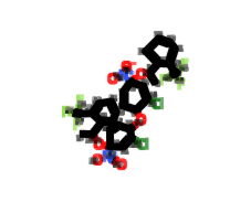 CC(OC1([N+](=O)[O-])C=CC(OC2C=CC(OC(C)c3ccccc3C(F)(F)F)([N+](=O)[O-])C=C2Cl)C(Cl)=C1)c1ccccc1C(F)(F)F